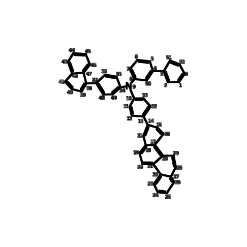 c1ccc(-c2cccc(N(c3ccc(-c4ccc5c(ccc6c7ccccc7ccc56)c4)cc3)c3ccc(-c4cccc5ccccc45)cc3)c2)cc1